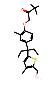 BCc1sc(C(CC)(CC)c2ccc(OCC(=O)C(C)(C)C)c(C)c2)cc1C